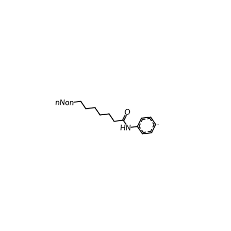 CCCCCCCCCCCCCCCC(=O)Nc1cc[c]cc1